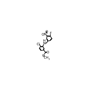 COC(=O)c1ccc(Cl)c(NCc2ccc(F)c([N+](=O)[O-])c2)c1